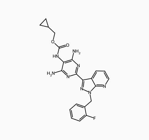 Nc1nc(-c2nn(Cc3ccccc3F)c3ncccc23)nc(N)c1NC(=O)OCC1CC1